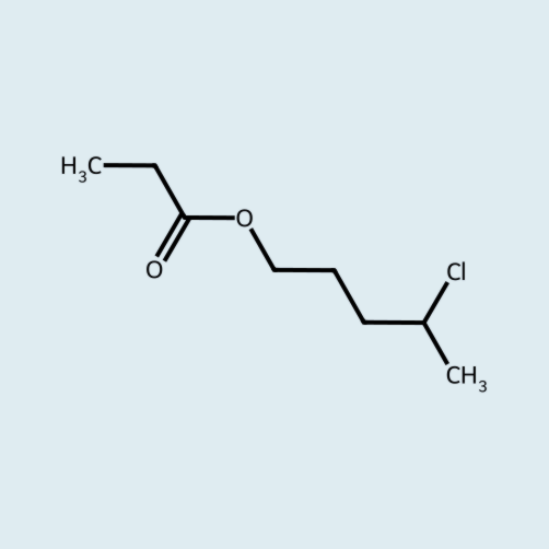 CCC(=O)OCCCC(C)Cl